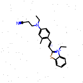 CCN(CCC#N)c1ccc(/C=C/c2sc3ccccc3[n+]2CC)c(C)c1